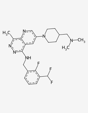 Cc1nnc(NCc2cccc(C(F)F)c2F)c2cc(N3CCC(CN(C)C)CC3)cnc12